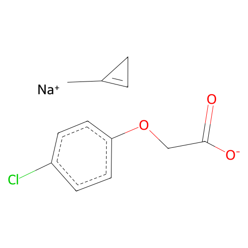 CC1=CC1.O=C([O-])COc1ccc(Cl)cc1.[Na+]